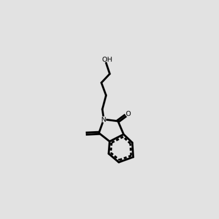 C=C1c2ccccc2C(=O)N1CCCCO